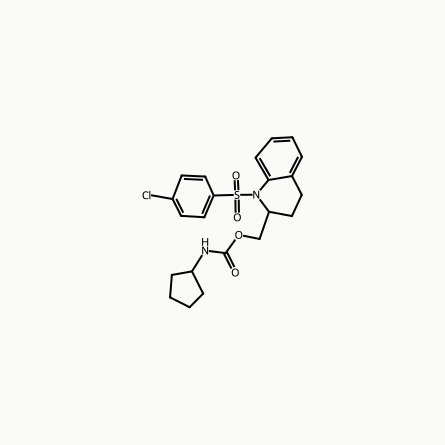 O=C(NC1CCCC1)OCC1CCc2ccccc2N1S(=O)(=O)c1ccc(Cl)cc1